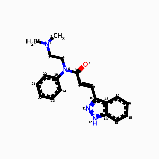 BN(C)CCN(C(=O)/C=C/c1n[nH]c2ccccc12)c1ccccc1